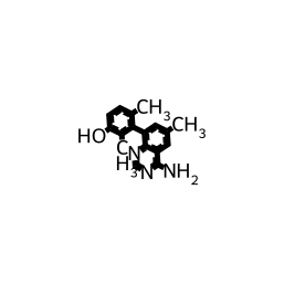 Cc1cc(-c2c(C)ccc(O)c2C)c2ncnc(N)c2c1